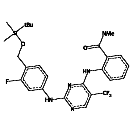 CNC(=O)c1ccccc1Nc1nc(Nc2ccc(CO[Si](C)(C)C(C)(C)C)c(F)c2)ncc1C(F)(F)F